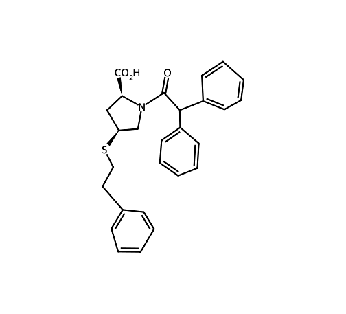 O=C(O)[C@@H]1C[C@H](SCCc2ccccc2)CN1C(=O)C(c1ccccc1)c1ccccc1